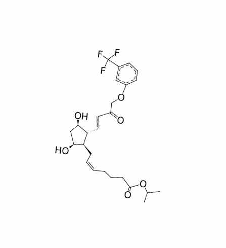 CC(C)OC(=O)CCC/C=C\C[C@@H]1[C@@H](/C=C/C(=O)COc2cccc(C(F)(F)F)c2)[C@H](O)C[C@@H]1O